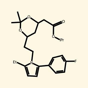 CCc1ccc(-c2ccc(F)cc2)n1CCC1CC(CC(=O)OC(C)C)OC(C)(C)O1